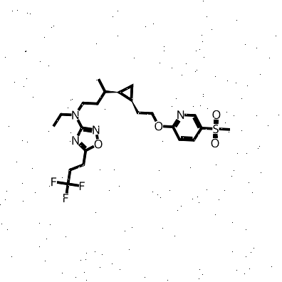 CCN(CCC(C)[C@H]1C[C@H]1CCOc1ccc(S(C)(=O)=O)cn1)c1noc(CCC(F)(F)F)n1